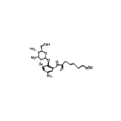 CCCCCCCCCCCCCCCC(=O)Nc1cc([N+](=O)[O-])ccc1O[C@@H]1O[C@H](CO)[C@@H](O)[C@H](O)[C@H]1O